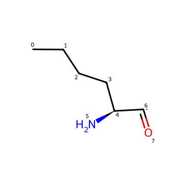 CCCC[C@H](N)[C]=O